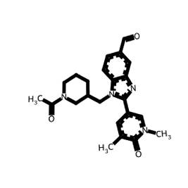 CC(=O)N1CCCC(Cn2c(-c3cc(C)c(=O)n(C)c3)nc3cc(C=O)ccc32)C1